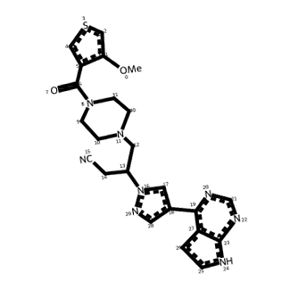 COc1cscc1C(=O)N1CCN(CC(CC#N)n2cc(-c3ncnc4[nH]ccc34)cn2)CC1